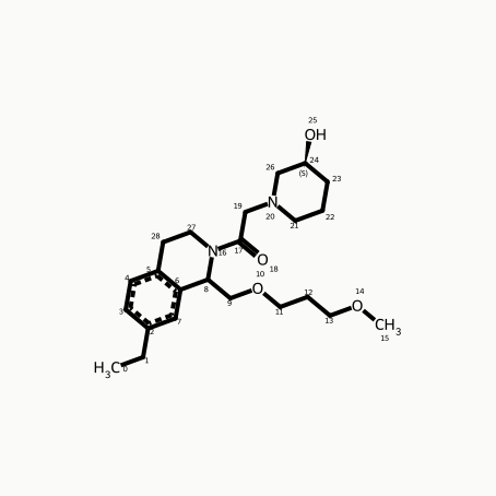 CCc1ccc2c(c1)C(COCCCOC)N(C(=O)CN1CCC[C@H](O)C1)CC2